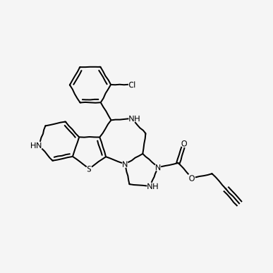 C#CCOC(=O)N1NCN2c3sc4c(c3C(c3ccccc3Cl)NCC12)=CCNC=4